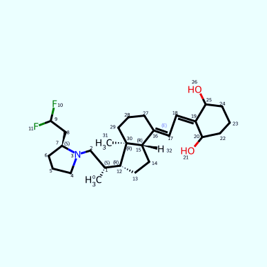 C[C@H](CN1CCC[C@H]1CC(F)F)[C@H]1CC[C@H]2/C(=C/C=C3C(O)CCCC3O)CCC[C@]12C